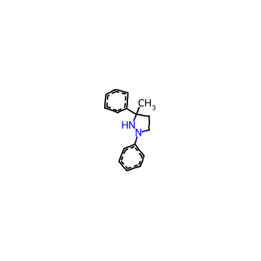 CC1(c2ccccc2)CCN(c2ccccc2)N1